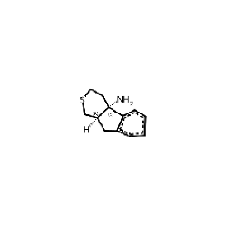 N[C@@]12CCSC[C@@H]1Cc1ccccc12